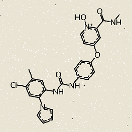 CNC(=O)c1cc(Oc2ccc(NC(=O)Nc3cc(C)c(Cl)cc3-n3cccc3)cc2)cc[n+]1O